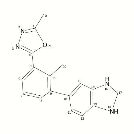 Cc1nnc(-c2cccc(-c3ccc4c(c3)NCN4)c2C)o1